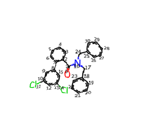 O=C(c1ccccc1-c1cc(Cl)cc(Cl)c1)N(Cc1ccccc1)Cc1ccccc1